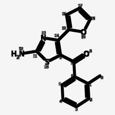 Cc1ccccc1C(=O)c1sc(N)nc1-c1ccco1